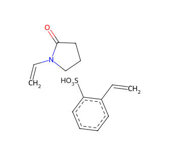 C=CN1CCCC1=O.C=Cc1ccccc1S(=O)(=O)O